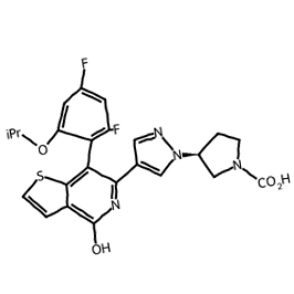 CC(C)Oc1cc(F)cc(F)c1-c1c(-c2cnn([C@H]3CCN(C(=O)O)C3)c2)nc(O)c2ccsc12